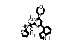 CC(C)(Nc1cccs1)c1nc(-c2cccc3[nH]ccc23)cc(N2CCOCC2)n1